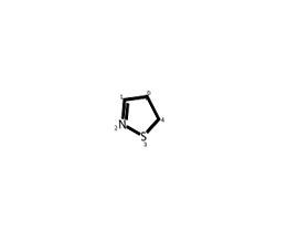 [C]1C=NSC1